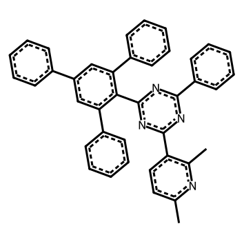 Cc1ccc(-c2nc(-c3ccccc3)nc(-c3c(-c4ccccc4)cc(-c4ccccc4)cc3-c3ccccc3)n2)c(C)n1